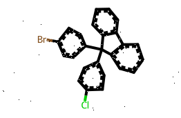 Clc1ccc(C2(c3ccc(Br)cc3)c3ccccc3-c3ccccc32)cc1